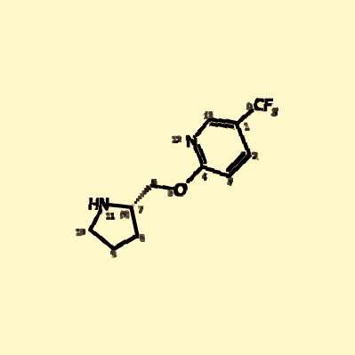 FC(F)(F)c1ccc(OC[C@@H]2CCCN2)nc1